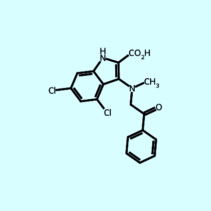 CN(CC(=O)c1ccccc1)c1c(C(=O)O)[nH]c2cc(Cl)cc(Cl)c12